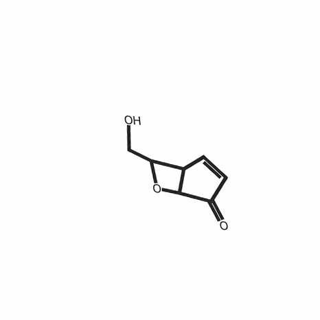 O=C1C=CC2C(CO)OC12